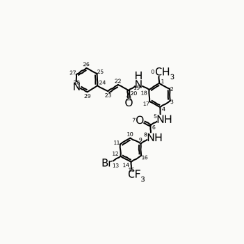 Cc1ccc(NC(=O)Nc2ccc(Br)c(C(F)(F)F)c2)cc1NC(=O)C=Cc1cccnc1